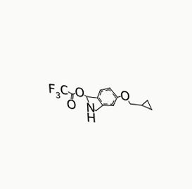 O=C(OC1NCc2cc(OCC3CC3)ccc21)C(F)(F)F